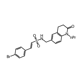 CCCN1C(=O)CCc2cc(CNS(=O)(=O)/C=C/c3ccc(Br)cc3)ccc21